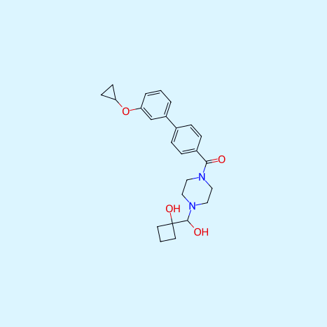 O=C(c1ccc(-c2cccc(OC3CC3)c2)cc1)N1CCN(C(O)C2(O)CCC2)CC1